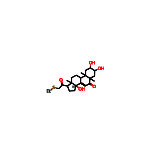 CCSCC(=O)C1CC[C@@]2(O)C3=CC(=O)C4(C)CC(O)C(O)CC4(C)C3CCC12C